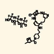 Cc1cc(C(=O)N2CCC(CCNc3ccc4cc3CCc3cncc(c3)Nc3ncc(Cl)c(n3)N4)CC2)no1.O=C(O)C(F)(F)F.O=C(O)C(F)(F)F.O=C(O)C(F)(F)F